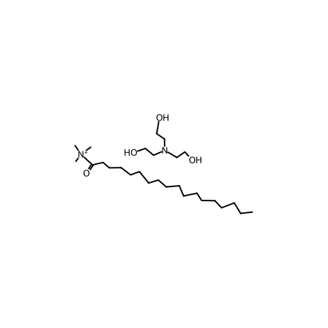 CCCCCCCCCCCCCCCCCC(=O)[N+](C)(C)C.OCCN(CCO)CCO